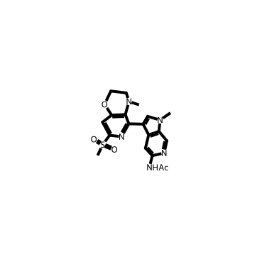 CC(=O)Nc1cc2c(-c3nc(S(C)(=O)=O)cc4c3N(C)CCO4)cn(C)c2cn1